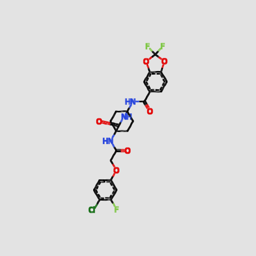 O=C(COc1ccc(Cl)c(F)c1)NC12CCC(NC(=O)c3ccc4c(c3)OC(F)(F)O4)(CC1)NC2=O